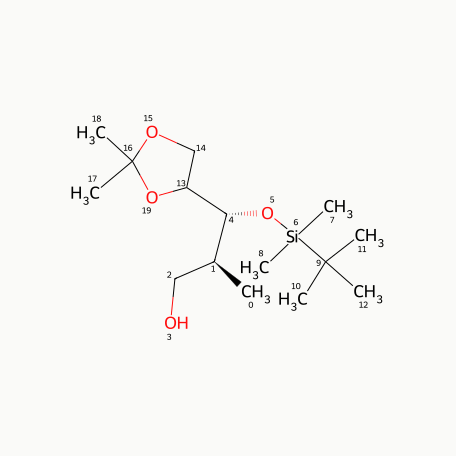 C[C@@H](CO)[C@@H](O[Si](C)(C)C(C)(C)C)C1COC(C)(C)O1